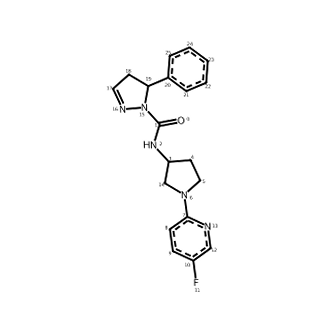 O=C(NC1CCN(c2ccc(F)cn2)C1)N1N=CCC1c1ccccc1